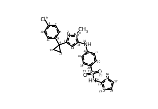 Cn1nc(C2(c3ccc(Cl)cc3)CC2)cc1Nc1ccc(S(=O)(=O)Nc2nccs2)cc1